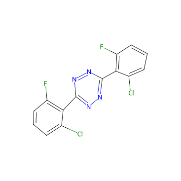 Fc1cccc(Cl)c1-c1nnc(-c2c(F)cccc2Cl)nn1